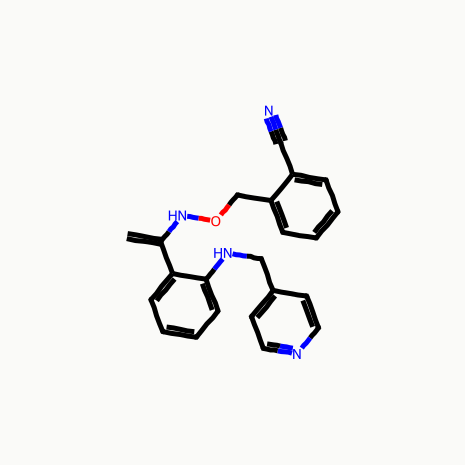 C=C(NOCc1ccccc1C#N)c1ccccc1NCc1ccncc1